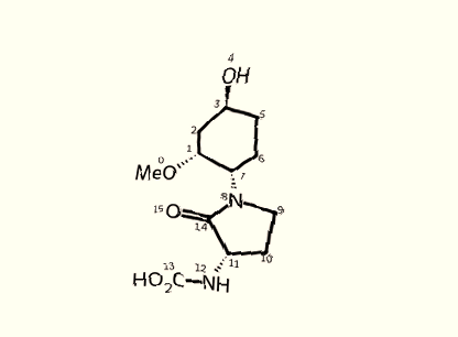 CO[C@@H]1C[C@@H](O)CC[C@@H]1N1CC[C@H](NC(=O)O)C1=O